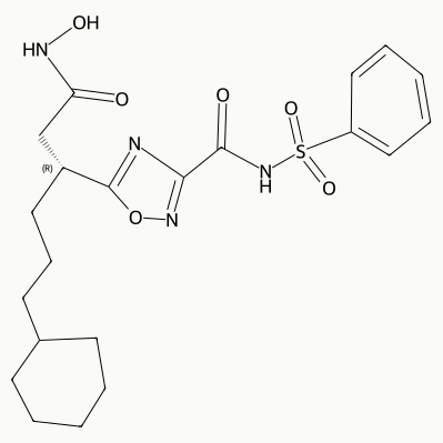 O=C(C[C@@H](CCCC1CCCCC1)c1nc(C(=O)NS(=O)(=O)c2ccccc2)no1)NO